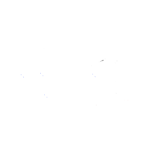 CC(C)Cc1nc2cccnc2n1-c1ccc(C[C@H](NC2=C(Br)C(=O)C23CCCCC3)C(=O)O)cc1